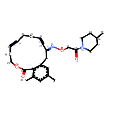 Cc1cc(C)c2c(c1)CC(=N\OCC(=O)N1CCC(C)CC1)/C=C/CC/C=C/CCOC2=O